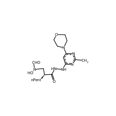 CCCCC[C@@H](CN(O)C=O)C(=O)NNc1cc(N2CCOCC2)nc(C)n1